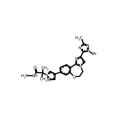 Cc1nc(-c2cn3c(n2)-c2ccc(-c4cnn(C(C)(C)C(=O)NN)c4)cc2OCC3)n(C(C)C)n1